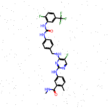 CNC(=O)c1cc(Nc2ncc(F)c(NCc3ccc(NC(=O)Nc4cc(C(F)(F)F)ccc4F)cc3)n2)ccc1C